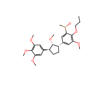 CCCOc1c(OC)cc([C@@H]2CC[C@@H](c3cc(OC)c(OC)c(OC)c3)[C@@H]2OC)cc1[S+](C)[O-]